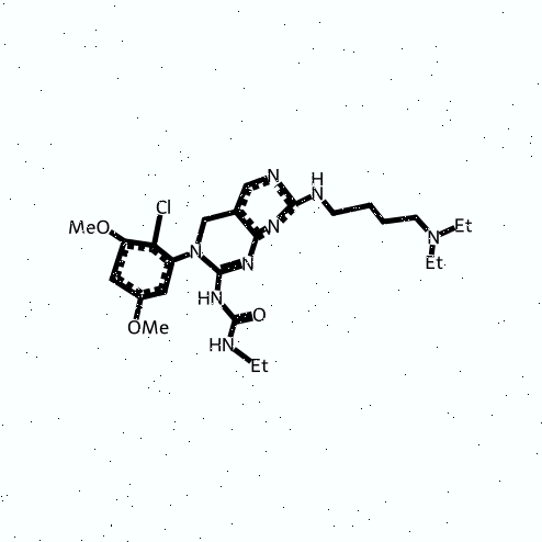 CCNC(=O)NC1=Nc2nc(NCCCCN(CC)CC)ncc2CN1c1cc(OC)cc(OC)c1Cl